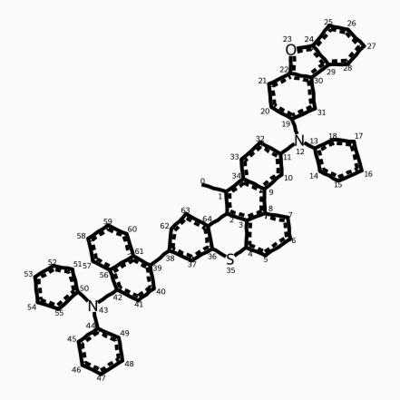 Cc1c2c3c(cccc3c3cc(N(c4ccccc4)c4ccc5oc6ccccc6c5c4)ccc13)Sc1cc(-c3ccc(N(c4ccccc4)c4ccccc4)c4ccccc34)ccc1-2